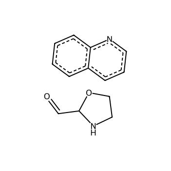 O=CC1NCCO1.c1ccc2ncccc2c1